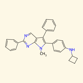 Cn1c(-c2ccc(NC3CCC3)cc2)c(-c2ccccc2)c2cnc(-c3ccccc3)nc21